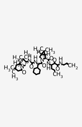 C=CCNC(=O)C(=O)C(CCC)NC(=O)[C@@H]1[C@@H]2[C@H](CN1C(=O)[C@@H](NC(=O)N[C@H](CN1C(=O)CC(C)(C)CC1=O)C(C)(C)C)C1CCCCC1)C2(C)C